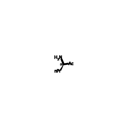 CCC[C@H](N)C(C)=O